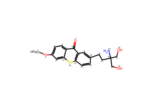 CCCCCOc1ccc2c(=O)c3cc(CCC(N)(CO)CO)ccc3sc2c1